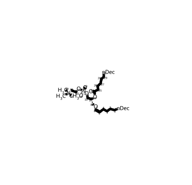 CCCCCCCCCCCCCC/C=C\OC[C@H](COP(=O)([O-])OCC[N+](C)(C)C)OC(=O)CCCCCCCCCCCCCCC